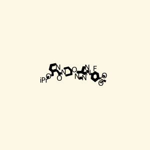 CC(C)OCc1cccnc1C(=O)N1CCC(Oc2ncnc3c2cnn3-c2ccc(S(C)(=O)=O)cc2F)CC1